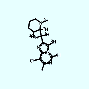 [2H]c1nc(C)c(Cl)c2nc(C([2H])([2H])[C@]3([2H])C([2H])CCCN3[2H])c([2H])n12